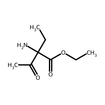 CCOC(=O)C(N)(CC)C(C)=O